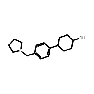 OC1CCC(c2ccc(CN3CCCC3)cc2)CC1